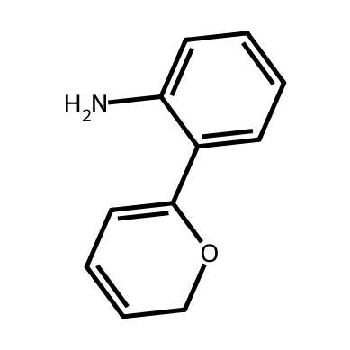 Nc1ccccc1C1=CC=CCO1